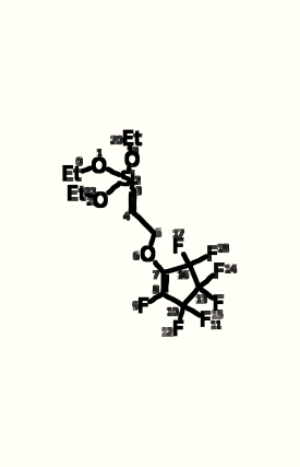 CCO[Si](C=CCOC1=C(F)C(F)(F)C(F)(F)C1(F)F)(OCC)OCC